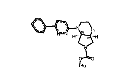 CC(C)(C)OC(=O)N1C[C@@H]2OCCN(c3ccc(-c4ccccc4)nn3)[C@@H]2C1